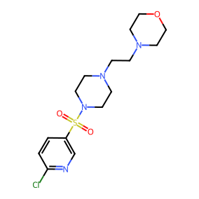 O=S(=O)(c1ccc(Cl)nc1)N1CCN(CCN2CCOCC2)CC1